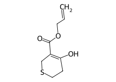 C=CCOC(=O)C1=C(O)CCSC1